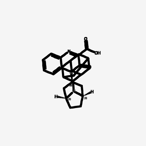 O=C(O)c1nc2ccccc2n([C@H]2C[C@H]3CC[C@@H](C2)N3C2C3CC4CC(C3)CC2C4)c1=O